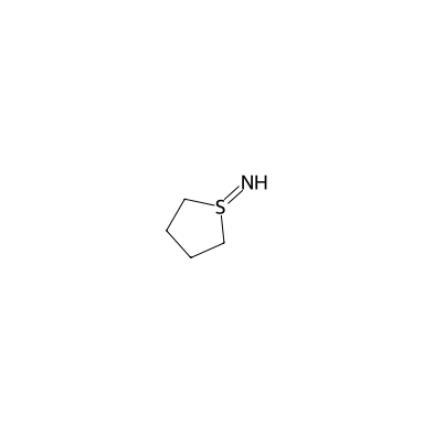 N=S1CCCC1